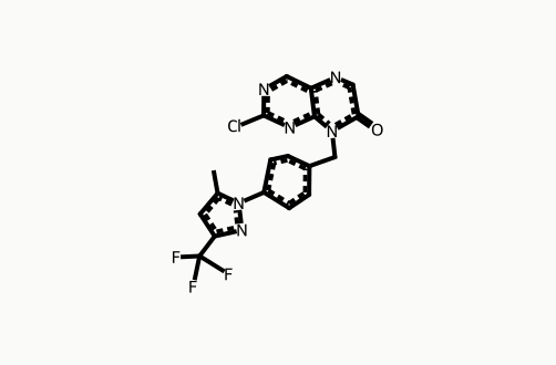 Cc1cc(C(F)(F)F)nn1-c1ccc(Cn2c(=O)cnc3cnc(Cl)nc32)cc1